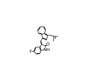 CN(C)Cc1cc(C=C2C(=O)Nc3ccc(F)cc32)c2cccccc1-2